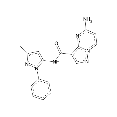 Cc1cc(NC(=O)c2cnn3ccc(N)nc23)n(-c2ccccc2)n1